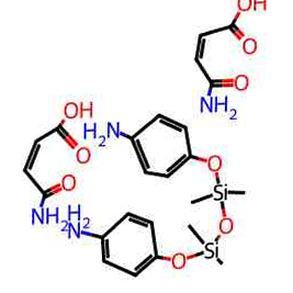 C[Si](C)(Oc1ccc(N)cc1)O[Si](C)(C)Oc1ccc(N)cc1.NC(=O)/C=C\C(=O)O.NC(=O)/C=C\C(=O)O